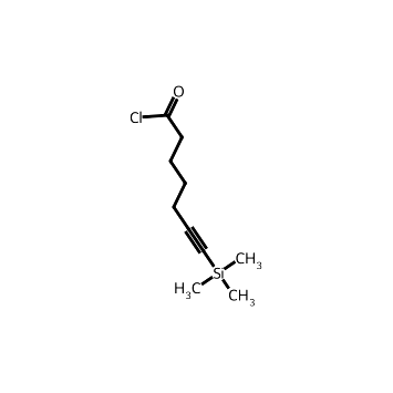 C[Si](C)(C)C#CCCCCC(=O)Cl